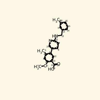 COc1cc(C)c(-c2ccc(NCc3cccc(C)c3)nc2)cc1C(=O)O